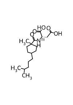 CC(C)CCCC1CCC(C)(C(=O)N[C@@H](CC(=O)O)C(=O)O)CC1